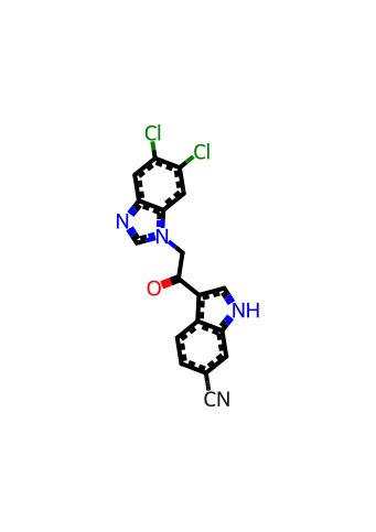 N#Cc1ccc2c(C(=O)Cn3cnc4cc(Cl)c(Cl)cc43)c[nH]c2c1